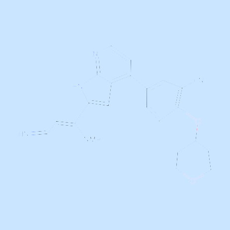 CN/C(=C\C=N)c1cc2c(-c3ccc(OC4CCOCC4)c(C#N)c3)ccnc2[nH]1